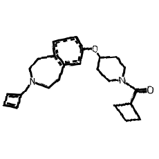 O=C(C1CCC1)N1CCC(Oc2ccc3c(c2)CCN(C2=CC=C2)CC3)CC1